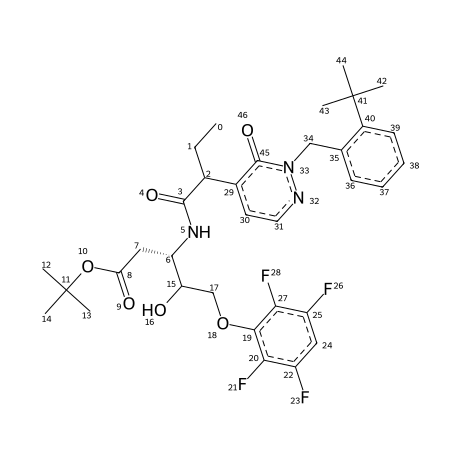 CCC(C(=O)N[C@@H](CC(=O)OC(C)(C)C)C(O)COc1c(F)c(F)cc(F)c1F)c1ccnn(Cc2ccccc2C(C)(C)C)c1=O